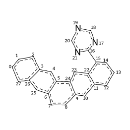 c1ccc2cc3c(ccc4cc5cccc(-c6ncncn6)c5cc43)cc2c1